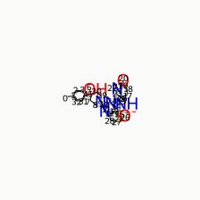 Cc1ccc(C2(O)CCN(c3nc4c(c(N[C@H]5CCC(=O)N(C)C5)n3)[S+]([O-])CC4)CC2)cc1